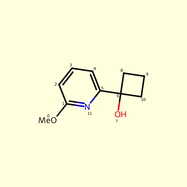 COc1cccc(C2(O)CCC2)n1